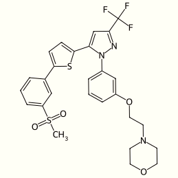 CS(=O)(=O)c1cccc(-c2ccc(-c3cc(C(F)(F)F)nn3-c3cccc(OCCN4CCOCC4)c3)s2)c1